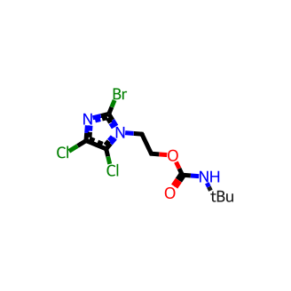 CC(C)(C)NC(=O)OCCn1c(Br)nc(Cl)c1Cl